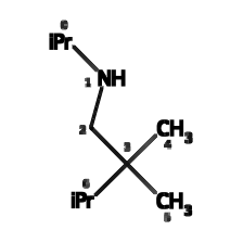 CC(C)NCC(C)(C)C(C)C